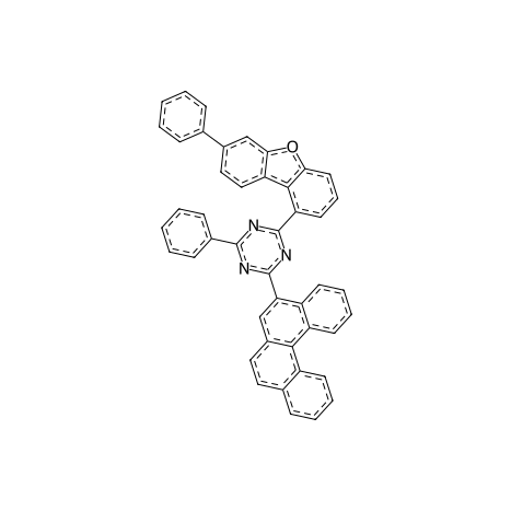 c1ccc(-c2ccc3c(c2)oc2cccc(-c4nc(-c5ccccc5)nc(-c5cc6ccc7ccccc7c6c6ccccc56)n4)c23)cc1